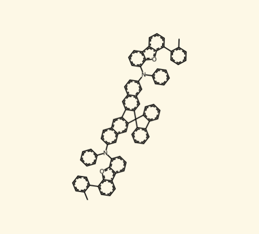 Cc1ccccc1-c1cccc2c1oc1c(N(c3ccccc3)c3ccc4cc5c(cc4c3)C3(c4ccccc4-c4ccccc43)c3cc4cc(N(c6ccccc6)c6cccc7c6oc6c(-c8ccccc8C)cccc67)ccc4cc3-5)cccc12